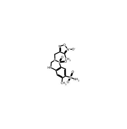 Cc1cc2c(cc1S(N)(=O)=O)S(=O)(=O)N(Cc1no[n+]([O-])c1C)CN2